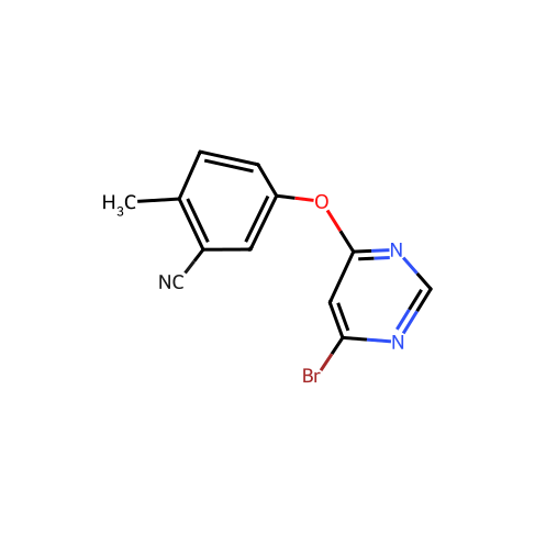 Cc1ccc(Oc2cc(Br)ncn2)cc1C#N